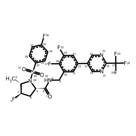 C[C@H]1[C@H](F)C[C@@H](C(=O)NCc2cc(-c3cnc(C(F)(F)F)nc3)cc(F)c2F)N1S(=O)(=O)c1ccc(F)cc1